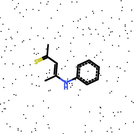 CC(=S)C=C(C)Nc1ccccc1